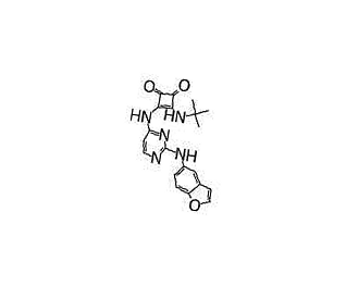 CC(C)(C)Nc1c(Nc2ccnc(Nc3ccc4occc4c3)n2)c(=O)c1=O